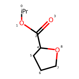 CC(C)OC(=O)C1CCCO1